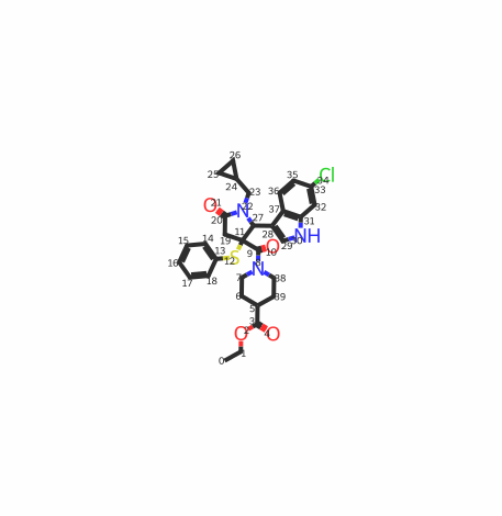 CCOC(=O)C1CCN(C(=O)C2(Sc3ccccc3)CC(=O)N(CC3CC3)C2c2c[nH]c3cc(Cl)ccc23)CC1